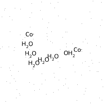 O.O.O.O.O.O.[Co].[Co]